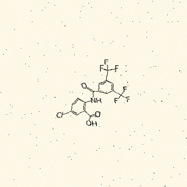 O=C(Nc1ccc(Cl)cc1C(=O)O)c1cc(C(F)(F)F)cc(C(F)(F)F)c1